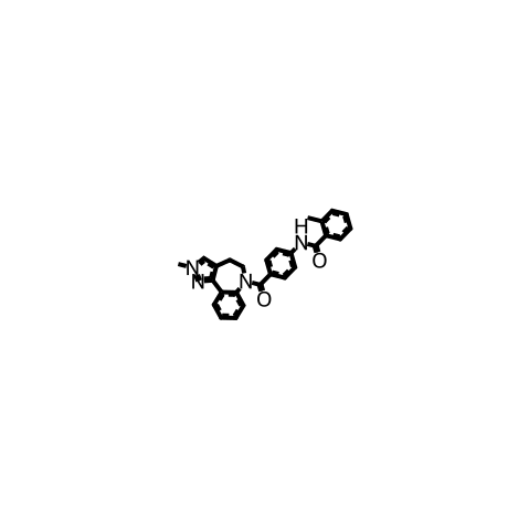 Cc1ccccc1C(=O)Nc1ccc(C(=O)N2CCc3cn(C)nc3-c3ccccc32)cc1